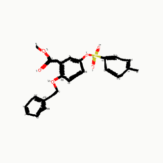 COC(=O)c1cc(OS(=O)(=O)c2ccc(C)cc2)ccc1OCc1ccccc1